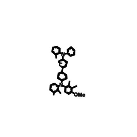 COc1ccc(N(c2ccc(-c3ccc(N(c4ccccc4)c4ccccc4C)cc3)cc2)c2cccc(C)c2C)c(C)c1C